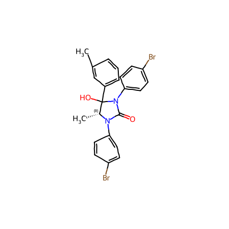 Cc1cccc(C2(O)[C@@H](C)N(c3ccc(Br)cc3)C(=O)N2c2ccc(Br)cc2)c1